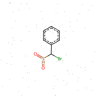 O=[SH](=O)C(Br)c1ccccc1